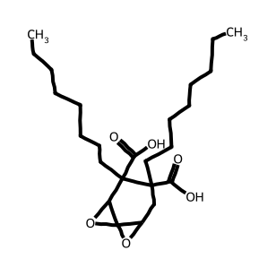 CCCCCCCCC1(C(=O)O)CC2OC23OC3C1(CCCCCCCC)C(=O)O